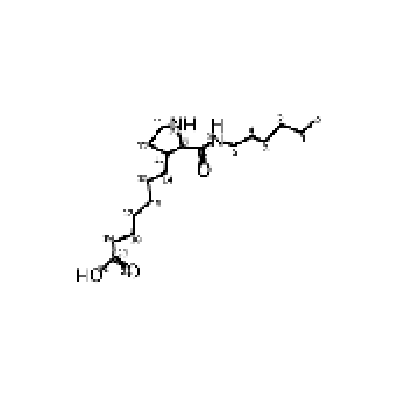 CCCCCCNC(=O)C1NCCC1CCCCCCC(=O)O